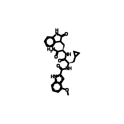 COc1cccc2[nH]c(C(=O)N[C@@H](CC3CC3)C(=O)N[C@@H](CC3C(=O)Nc4ccccc43)C(N)=O)cc12